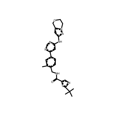 Cc1cc(-c2cc(Nc3cc4n(n3)CCOC4)ncn2)ccc1CNC(=O)c1cnc(C(C)(C)C)s1